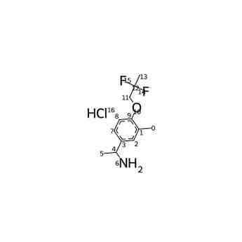 Cc1cc(C(C)N)ccc1OCC(C)(F)F.Cl